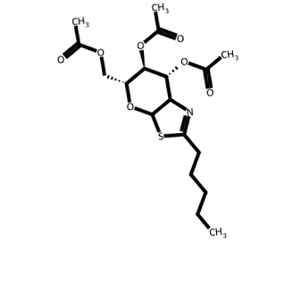 CCCCCC1=NC2C(O[C@H](COC(C)=O)[C@@H](OC(C)=O)[C@@H]2OC(C)=O)S1